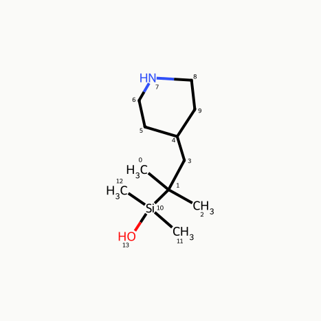 CC(C)(CC1CCNCC1)[Si](C)(C)O